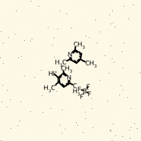 Cc1cc(C)c([IH+])c(C)n1.Cc1cc(C)nc(C)c1.F[B-](F)(F)F